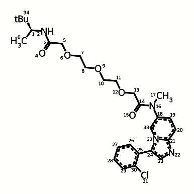 C[C@H](NC(=O)COCCOCCOCC(=O)N(C)c1ccc2ncc(-c3ccccc3Cl)n2c1)C(C)(C)C